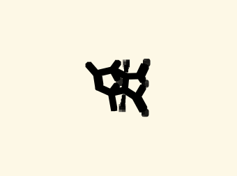 CC1=CC2(C)OC1(C)[C@H]1C(=O)OC(=O)[C@H]12